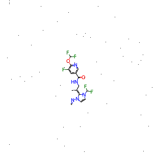 C=NN1C=CN(C(F)F)/C1=C(/C)CNC(=O)c1cnc(OC(F)F)c(F)c1